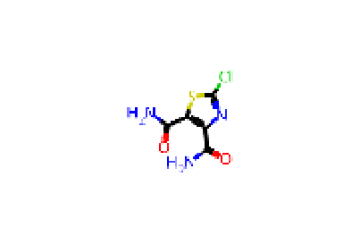 NC(=O)c1nc(Cl)sc1C(N)=O